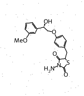 COc1cccc([C@@H](O)COc2ccc(CC3SC(=O)N(N)C3=O)cc2)c1